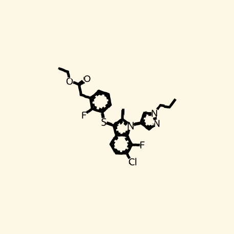 CCCn1cc(-n2c(C)c(Sc3cccc(CC(=O)OCC)c3F)c3ccc(Cl)c(F)c32)cn1